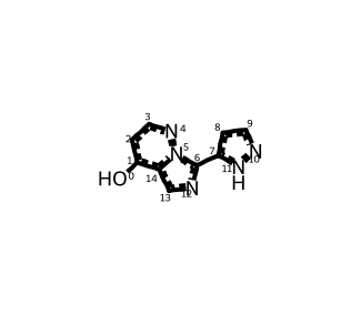 Oc1ccnn2c(-c3ccn[nH]3)ncc12